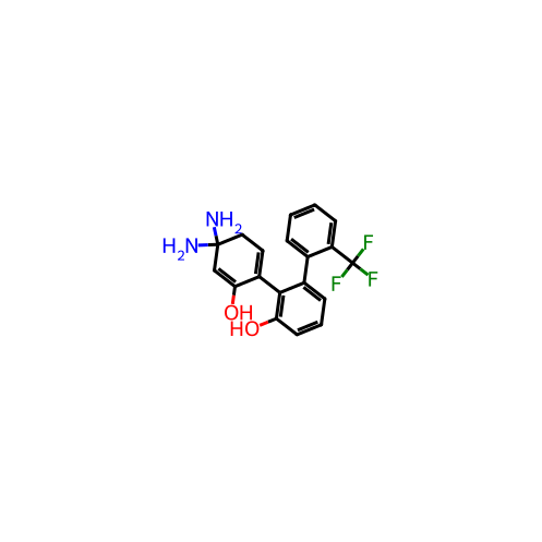 NC1(N)C=C(O)C(c2c(O)cccc2-c2ccccc2C(F)(F)F)=CC1